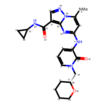 CNc1cc(Nc2cccn(C[C@H]3CCCCO3)c2=O)nc2c(C(=O)NC3CC3)cnn12